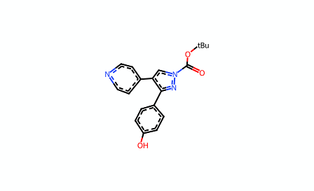 CC(C)(C)OC(=O)n1cc(-c2ccncc2)c(-c2ccc(O)cc2)n1